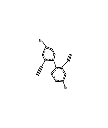 C#Cc1cc(Br)ccc1-c1ccc(Br)cc1C#C